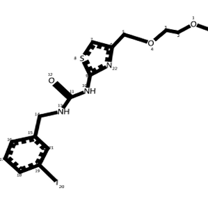 COCCOCc1csc(NC(=O)NCc2cccc(I)c2)n1